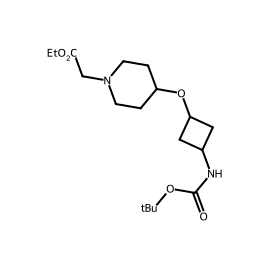 CCOC(=O)CN1CCC(OC2CC(NC(=O)OC(C)(C)C)C2)CC1